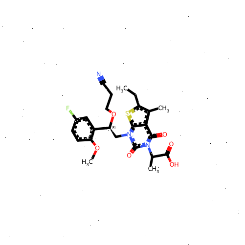 CCc1sc2c(c1C)c(=O)n(C(C)C(=O)O)c(=O)n2C[C@H](OCCC#N)c1cc(F)ccc1OC